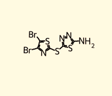 Nc1nnc(Sc2nc(Br)c(Br)s2)s1